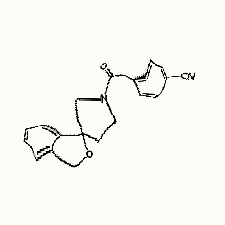 N#Cc1ccc(C(=O)N2CCC3(CC2)OCc2ccccc23)cc1